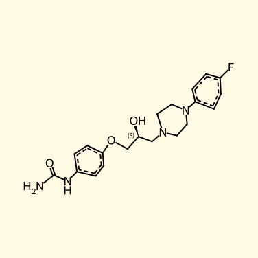 NC(=O)Nc1ccc(OC[C@@H](O)CN2CCN(c3ccc(F)cc3)CC2)cc1